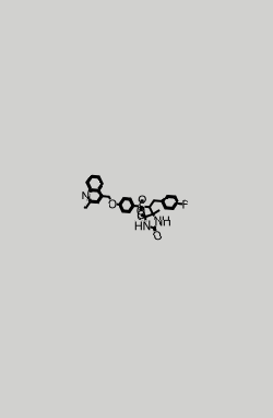 Cc1cc(COc2ccc(S(=O)(=O)C(Cc3ccc(F)cc3)C3(C)NC(=O)NC3=O)cc2)c2ccccc2n1